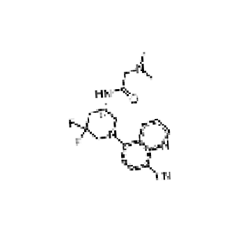 CN(C)CC(=O)N[C@@H]1CN(c2ccc(C#N)c3ncccc23)CC(F)(F)C1